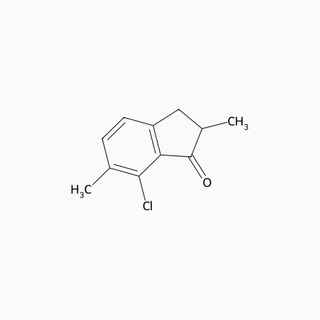 Cc1ccc2c(c1Cl)C(=O)C(C)C2